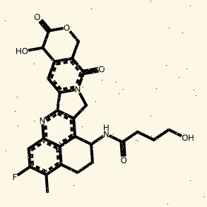 Cc1c(F)cc2nc3c(c4c2c1CCC4NC(=O)CCCO)Cn1c-3cc2c(c1=O)COC(=O)C2O